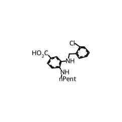 CCCCCNc1ccc(C(=O)O)cc1NCc1ccccc1Cl